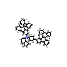 c1ccc(-c2c(-c3ccccc3)c3cc(-c4ccc(N(c5ccc6c(c5)-c5ccccc5C6(c5ccccc5)c5ccccc5)c5cccc6ccccc56)cc4)ccc3c3ccccc23)cc1